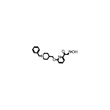 O=C(C=NO)c1cccc(OCC2CCN(Cc3ccccc3)CC2)n1